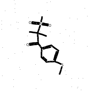 CSc1ccc(C(=O)C(C)(C)S(C)(=O)=O)cc1